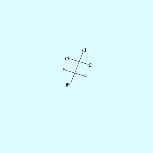 CC(C)C(F)(F)C(Cl)(Cl)Cl